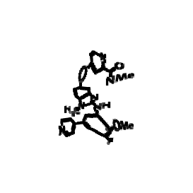 CNC(=O)c1cc(Oc2ccc3c(c2)nc(Nc2cc(-c4ccncc4)cc(F)c2OC)n3C)ccn1